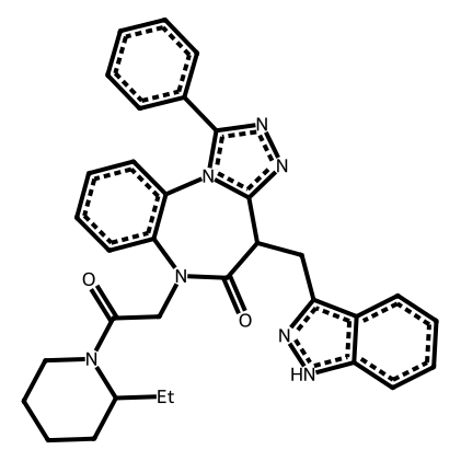 CCC1CCCCN1C(=O)CN1C(=O)C(Cc2n[nH]c3ccccc23)c2nnc(-c3ccccc3)n2-c2ccccc21